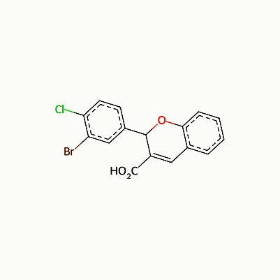 O=C(O)C1=Cc2ccccc2OC1c1ccc(Cl)c(Br)c1